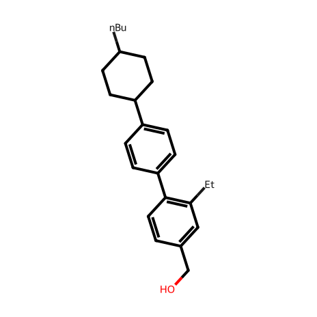 CCCCC1CCC(c2ccc(-c3ccc(CO)cc3CC)cc2)CC1